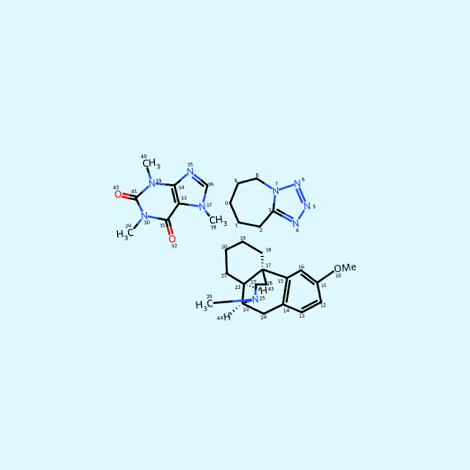 C1CCc2nnnn2CC1.COc1ccc2c(c1)[C@]13CCCC[C@@H]1[C@H](C2)N(C)CC3.Cn1c(=O)c2c(ncn2C)n(C)c1=O